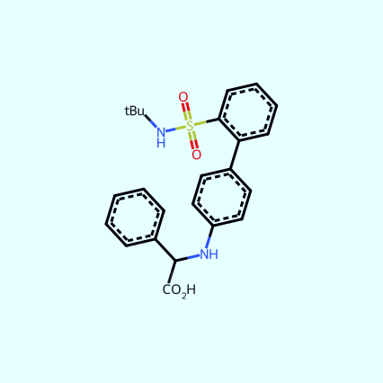 CC(C)(C)NS(=O)(=O)c1ccccc1-c1ccc(NC(C(=O)O)c2ccccc2)cc1